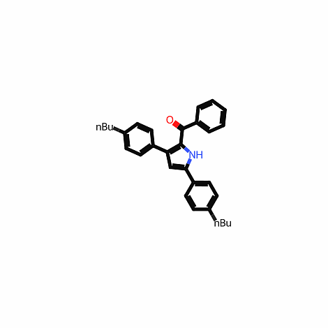 CCCCc1ccc(-c2cc(-c3ccc(CCCC)cc3)c(C(=O)c3ccccc3)[nH]2)cc1